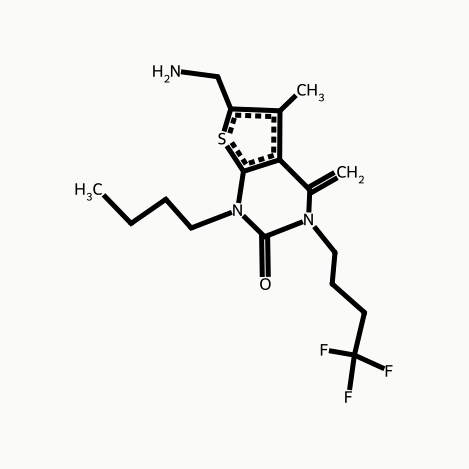 C=C1c2c(sc(CN)c2C)N(CCCC)C(=O)N1CCCC(F)(F)F